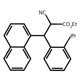 CCOC(=O)C(C#N)C(c1ccccc1C(C)C)c1cccc2ccccc12